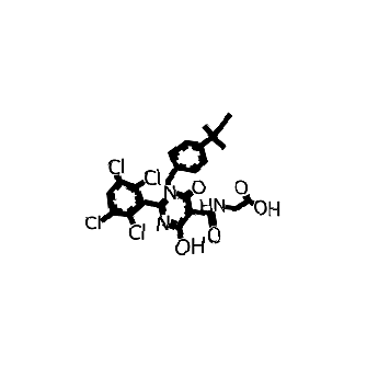 CC(C)(C)c1ccc(Cn2c(-c3c(Cl)c(Cl)cc(Cl)c3Cl)nc(O)c(C(=O)NCC(=O)O)c2=O)cc1